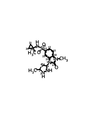 CC1NNC(n2c(=O)n(C)c3ccc(S(=O)(=O)NC4(C)CC4)cc32)S1